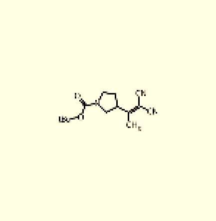 CC(=C(C#N)C#N)C1CCN(C(=O)OC(C)(C)C)C1